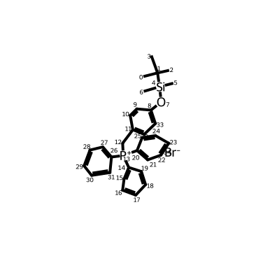 CC(C)(C)[Si](C)(C)Oc1ccc(C[P+](c2ccccc2)(c2ccccc2)c2ccccc2)cc1.[Br-]